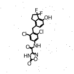 O=C(Nc1cc(Cl)c(Cc2ccc(O)c3c2CCC3(F)F)c(Cl)c1)c1noc(=O)[nH]1